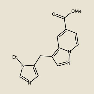 CCn1cncc1Cc1cnn2ccc(C(=O)OC)cc12